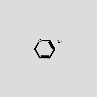 C1=CCOC=C1.[Na]